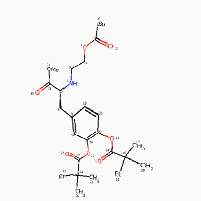 CCC(C)C(=O)OCCN[C@@H](Cc1ccc(OC(=O)C(C)(C)CC)c(OC(=O)C(C)(C)CC)c1)C(=O)OC